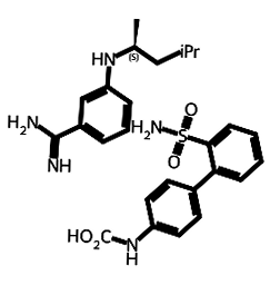 CC(C)C[C@H](C)Nc1cccc(C(=N)N)c1.NS(=O)(=O)c1ccccc1-c1ccc(NC(=O)O)cc1